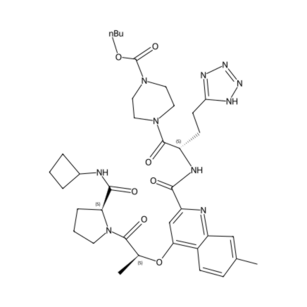 CCCCOC(=O)N1CCN(C(=O)[C@H](CCc2nnn[nH]2)NC(=O)c2cc(O[C@@H](C)C(=O)N3CCC[C@H]3C(=O)NC3CCC3)c3ccc(C)cc3n2)CC1